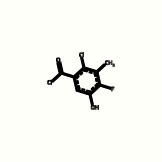 Cc1c(F)c(O)cc(C(=O)Cl)c1Cl